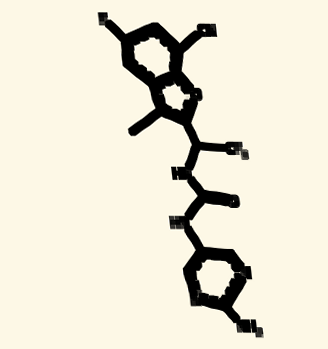 Cc1c(C(NC(=O)Nc2cnc(N)nc2)C(F)(F)F)oc2c(C#N)cc(F)cc12